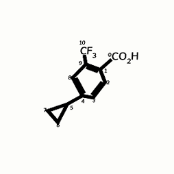 O=C(O)c1ccc(C2CC2)cc1C(F)(F)F